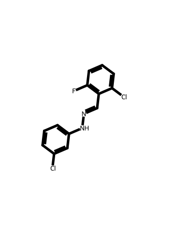 Fc1cccc(Cl)c1C=NNc1cccc(Cl)c1